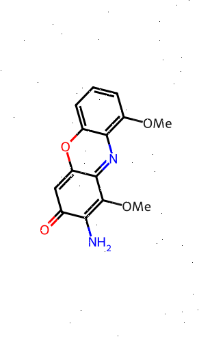 COc1c2nc3c(OC)cccc3oc-2cc(=O)c1N